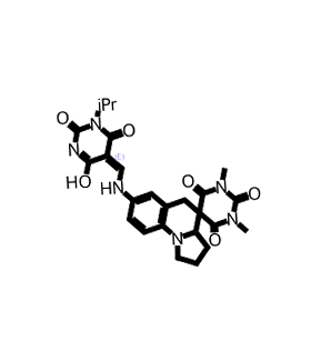 CC(C)N1C(=O)N=C(O)/C(=C\Nc2ccc3c(c2)CC2(C(=O)N(C)C(=O)N(C)C2=O)C2CCCN32)C1=O